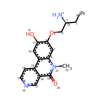 CC(C)C[C@H](N)COc1cc2c(cc1O)c1ccncc1c(=O)n2C